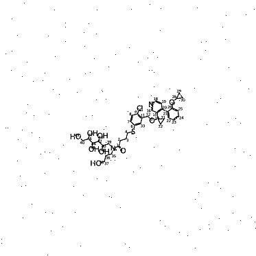 O=C(CCCSc1ccc(Cl)c(COC2(c3cnccc3-c3ccccc3OC3CC3)CC2)c1)N(CCCO)CC(O)C(O)C(O)C(O)CO